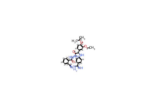 CCOc1cc(C(Nc2ccc(C(=N)N)cc2)C(=O)NNC(=O)c2ccccc2C#N)ccc1OC(C)C